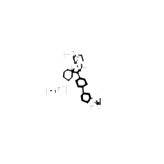 Cl.Cl.OC1(C(CN2CCNCC2)c2ccc(-c3cccc(OC(F)(F)F)c3)cc2)CCCCC1